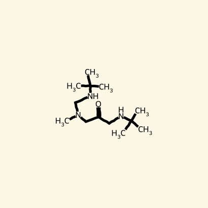 CN(CNC(C)(C)C)CC(=O)CNC(C)(C)C